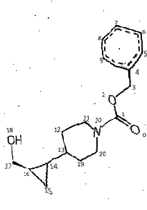 O=C(OCc1ccccc1)N1CCC(C2C[C@H]2CO)CC1